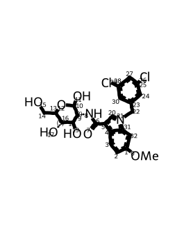 COc1ccc2c(C(=O)N[C@H]3C(O)OC(CO)[C@@H](O)C3O)cn(Cc3cc(Cl)cc(Cl)c3)c2c1